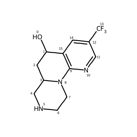 OC1CC2CNCCN2c2ncc(C(F)(F)F)cc21